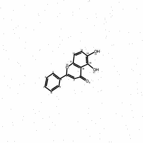 O=c1cc(-c2ccccc2)oc2c[c]c(O)c(O)c12